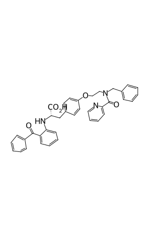 O=C(c1ccccc1)c1ccccc1N[C@@H](Cc1ccc(OCCN(Cc2ccccc2)C(=O)c2ccccn2)cc1)C(=O)O